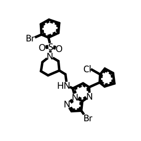 O=S(=O)(c1ccccc1Br)N1CCCC(CNc2cc(-c3ccccc3Cl)nc3c(Br)cnn23)C1